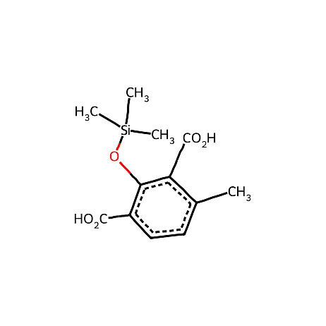 Cc1ccc(C(=O)O)c(O[Si](C)(C)C)c1C(=O)O